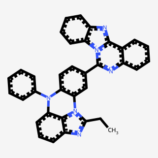 CCc1nc2cccc3c2n1-c1cc(-c2nc4ccccc4c4nc5ccccc5n24)ccc1N3c1ccccc1